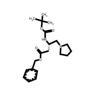 CC(C)(C)OC(=O)N[C@@H](CC(=O)OCc1ccccc1)CN1CCCC1